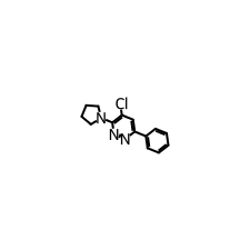 Clc1cc(-c2ccccc2)nnc1N1CCCC1